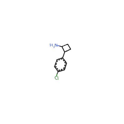 NC1CCC1c1ccc(Cl)cc1